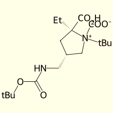 CC[C@@]1(C(=O)O)C[C@@H](CNC(=O)OC(C)(C)C)C[N+]1(C(=O)[O-])C(C)(C)C